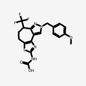 COc1ccc(Cn2cc3c(n2)C(C(F)(F)F)CCc2sc(NC(=O)O)nc2-3)cc1